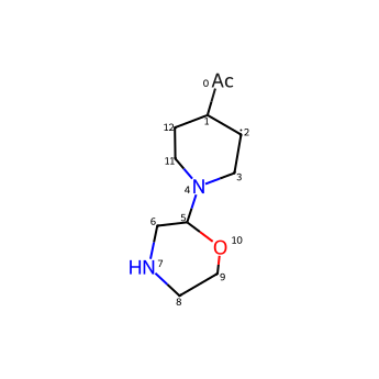 CC(=O)C1[CH]CN(C2CNCCO2)CC1